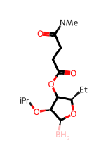 B[C@@H]1O[C@H](CC)C(OC(=O)CCC(=O)NC)[C@@H]1OC(C)C